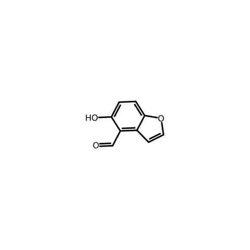 O=Cc1c(O)ccc2occc12